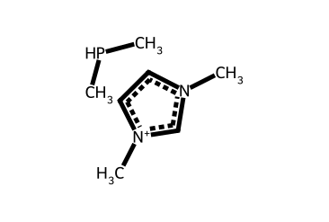 CPC.Cn1cc[n+](C)c1